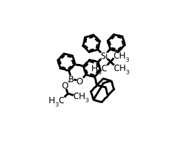 CC(C)OB1Oc2c(cc([Si](c3ccccc3)(c3ccccc3)C(C)(C)C)cc2C23CC4CC(CC(C4)C2)C3)-c2ccccc21